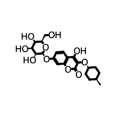 C[C@H]1CC[C@H](Oc2c(O)c3ccc(O[C@@H]4O[C@H](CO)[C@H](O)[C@H](O)[C@H]4O)cc3oc2=O)CC1